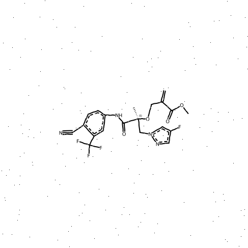 C=C(CO[C@@](C)(Cn1cc(F)cn1)C(=O)Nc1ccc(C#N)c(C(F)(F)F)c1)C(=O)OC